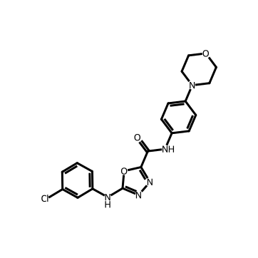 O=C(Nc1ccc(N2CCOCC2)cc1)c1nnc(Nc2cccc(Cl)c2)o1